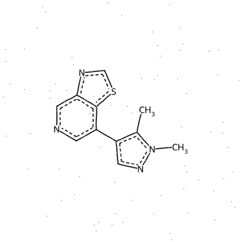 Cc1c(-c2cncc3ncsc23)cnn1C